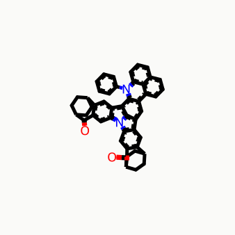 O=C1c2cc3c(cc2C2CCC1CC2)c1cc2c4cccc5cccc(c54)n(-c4ccccc4)c2c2c4cc5c(cc4n3c12)C(=O)C1CCC5CC1